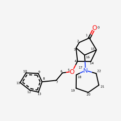 O=C1CC2C(OCCc3ccccc3)CC1C2N1CCCCC1